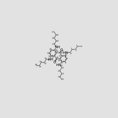 CCCCCNc1ccc(NCCCCC)c2c1C(=O)c1c(NCCCCC)ccc(NCCCCC)c1C2=O